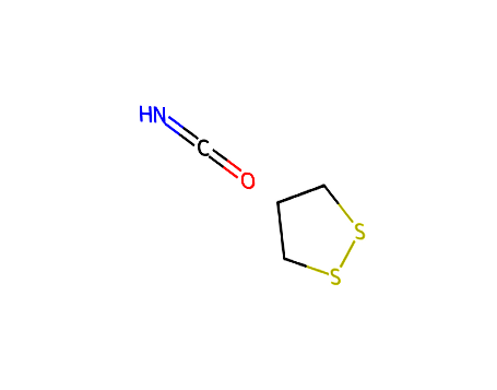 C1CSSC1.N=C=O